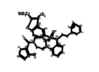 CCOC(=O)c1oc2ccc(S(=O)(=O)N(CCc3ccccc3)c3ccccc3N3CCCN(C(=O)c4sccc4Br)CC3)cc2c1C